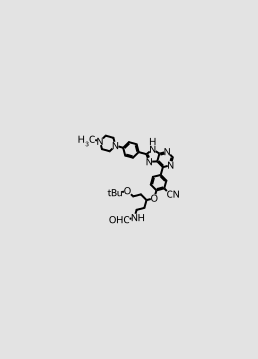 CN1CCN(c2ccc(-c3nc4c(-c5ccc(OC(CCNC=O)CCOC(C)(C)C)c(C#N)c5)ncnc4[nH]3)cc2)CC1